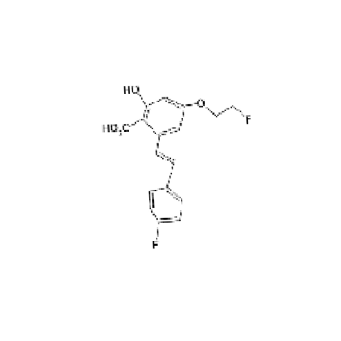 O=C(O)c1c(O)cc(OCCF)cc1C=Cc1ccc(F)cc1